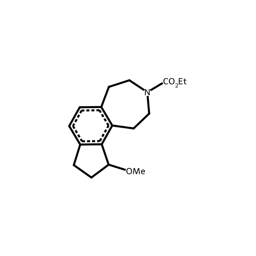 CCOC(=O)N1CCc2ccc3c(c2CC1)C(OC)CC3